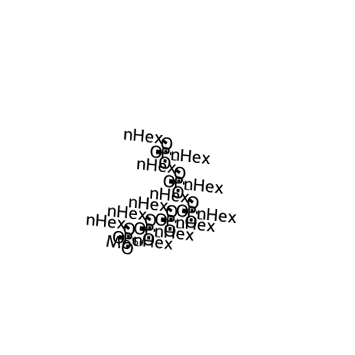 CCCCCCOP(=O)([O-])CCCCCC.CCCCCCOP(=O)([O-])CCCCCC.CCCCCCOP(=O)([O-])CCCCCC.CCCCCCOP(=O)([O-])CCCCCC.CCCCCCOP(=O)([O-])CCCCCC.CCCCCCOP(=O)([O-])CCCCCC.[Mo+6]